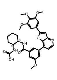 COc1cc(C(=O)N[C@@H]2CCCC[C@@H]2NC(=O)O)cc(-c2ccnc3cc(-c4cc(OC)c(OC)c(OC)c4)oc23)c1